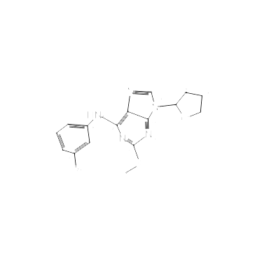 CSc1nc(Nc2cccc(Br)c2)c2ncn(C3CCCO3)c2n1